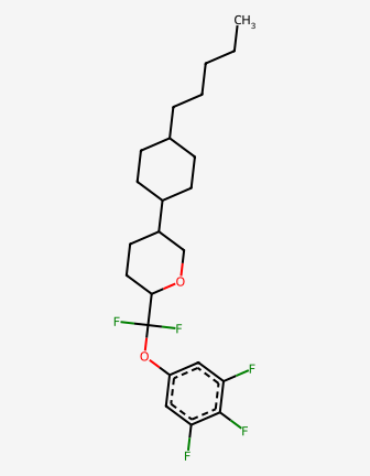 CCCCCC1CCC(C2CCC(C(F)(F)Oc3cc(F)c(F)c(F)c3)OC2)CC1